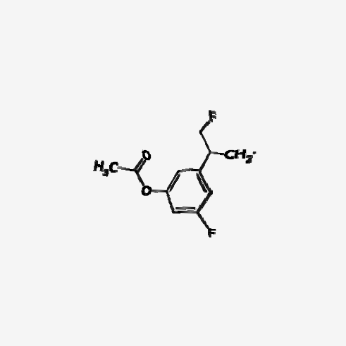 [CH2]C(CF)c1cc(F)cc(OC(C)=O)c1